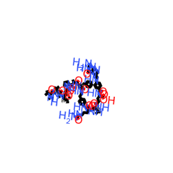 CC[C@H](C)C(C(CC(=O)N1CCCC1C(OC)C(C)C(=O)N[C@@H](Cc1ccccc1)C(=O)NCCc1ccc(NC(=O)C(CCCNC(N)=O)NC(=O)[C@H](NC(=O)CCC(NC(=O)c2ccc(NCc3cnc4nc(N)[nH]c(=O)c4n3)cc2)C(=O)O)C(C)C)cc1)OC)N(C)C(=O)[C@@H](NC(=O)C(C(C)C)N(C)C)C(C)C